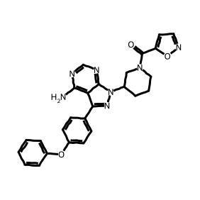 Nc1ncnc2c1c(-c1ccc(Oc3ccccc3)cc1)nn2C1CCCN(C(=O)c2ccno2)C1